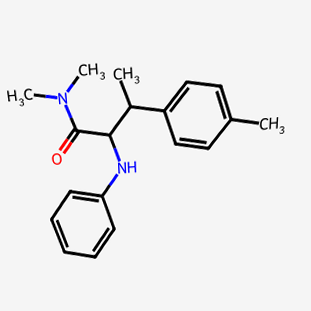 Cc1ccc(C(C)C(Nc2ccccc2)C(=O)N(C)C)cc1